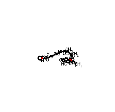 CCCC1O[C@@H]2CC3[C@@H]4CCC5=CC(=O)C=C[C@]5(F)C4[C@@H](O)C[C@]3(C)[C@]2(C(=O)COC(=O)N(C)CCSSC(C)(C)CC(=O)NCCOCCOCCOCCNC(=O)OC[C@@H]2[C@@H]3CCC#CCC[C@@H]32)O1